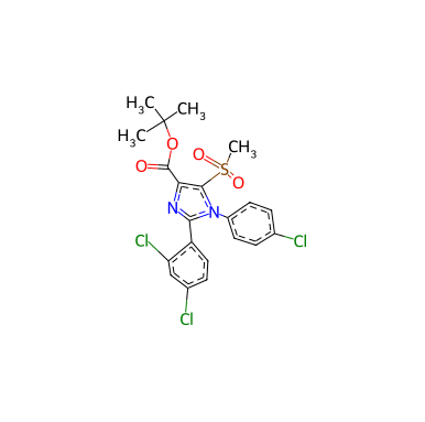 CC(C)(C)OC(=O)c1nc(-c2ccc(Cl)cc2Cl)n(-c2ccc(Cl)cc2)c1S(C)(=O)=O